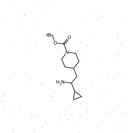 CC(C)(C)OC(=O)N1CCC(CC(N)C2CC2)CC1